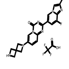 Cc1cn2cc(-c3nc(=O)n4cc(N5CC6(CNC6)C5)ccc4n3)cc(F)c2n1.O=C(O)C(F)(F)F